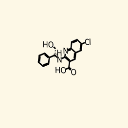 O=C(O)c1cc2cc(Cl)ccc2nc1N[C@@H](CO)c1ccccc1